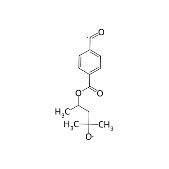 CC(CC(C)(C)[O])OC(=O)c1ccc([C]=O)cc1